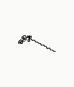 CCCCCCCCCCCCCCCCCC(=O)NC(CC)OC(=O)C(C)(O)CC